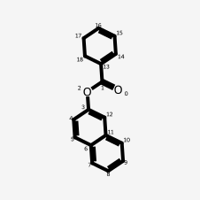 O=C(Oc1ccc2ccccc2c1)C1=CC=CCC1